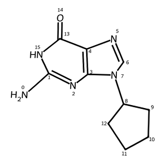 Nc1nc2c(ncn2C2CCCC2)c(=O)[nH]1